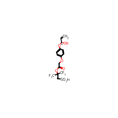 C=C[C@@H](O)Oc1ccc(OCC(=O)OC(CS(=O)(=O)O)(C(F)(F)F)C(F)(F)F)cc1